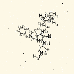 CN1CCC(Nc2nc3c(c(N4CCN(C(=O)OC(C)(C)C)CC4)c2C#N)CCN(Cc2ccccc2)C3)CC1